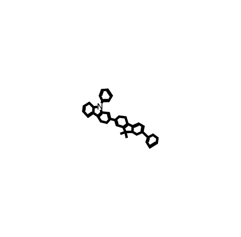 CC1(C)C2=C(CCC(C3=CC4=C(CC3)C3=CC=CCC3N4c3ccccc3)=C2)C2=CC=C(C3=CC=CCC3)CC21